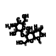 COC1OC(CO)C(OC2OC(CO)C(C)C(N)C2O)C(O)C1NC(C)O